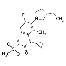 CCC1CCN(c2c(F)cc3cc(S(C)(=O)=O)c(=O)n(C4CC4)c3c2C)C1